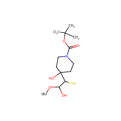 CC(C)(C)OC(O)C(S)C1(O)CCN(C(=O)OC(C)(C)C(Cl)(Cl)Cl)CC1